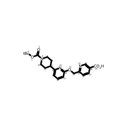 CC(C)(C)OC(=O)N1CCC(c2cccc(OCc3ccc(C(=O)O)cn3)n2)CC1